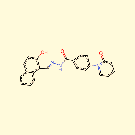 O=C(N/N=C/c1c(O)ccc2ccccc12)c1ccc(-n2ccccc2=O)cc1